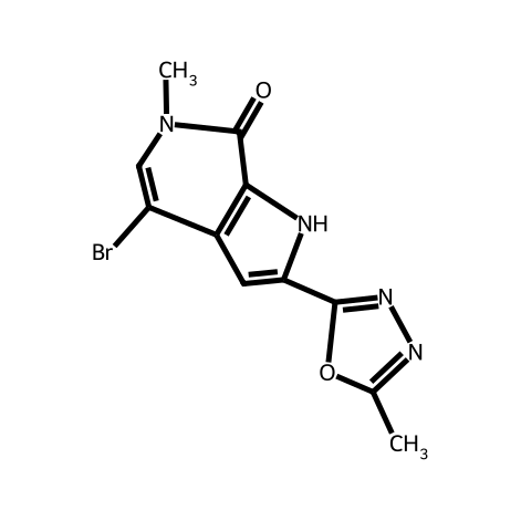 Cc1nnc(-c2cc3c(Br)cn(C)c(=O)c3[nH]2)o1